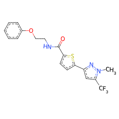 Cn1nc(-c2ccc(C(=O)NCCOc3ccccc3)s2)cc1C(F)(F)F